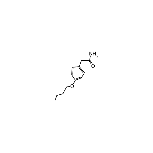 CCCCOc1ccc(CC(N)=O)cc1